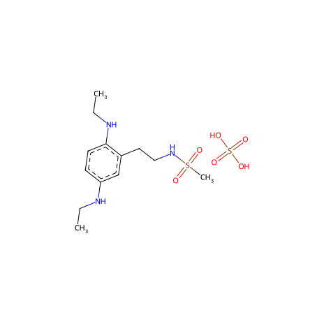 CCNc1ccc(NCC)c(CCNS(C)(=O)=O)c1.O=S(=O)(O)O